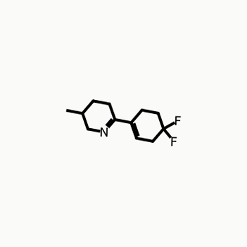 CC1CCC(C2=CCC(F)(F)CC2)=NC1